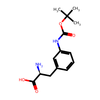 CC(C)(C)OC(=O)Nc1cccc(C[C@H](N)C(=O)O)c1